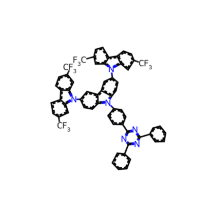 FC(F)(F)c1ccc2c3ccc(C(F)(F)F)cc3n(-c3ccc4c(c3)c3cc(-n5c6cc(C(F)(F)F)ccc6c6ccc(C(F)(F)F)cc65)ccc3n4-c3ccc(-c4nc(-c5ccccc5)nc(-c5ccccc5)n4)cc3)c2c1